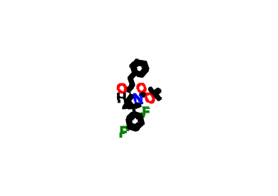 CC(C)(C)OC(=O)N1C[C@]2(c3cc(F)ccc3F)C[C@H]2[C@@H]1C(=O)CCc1ccccc1